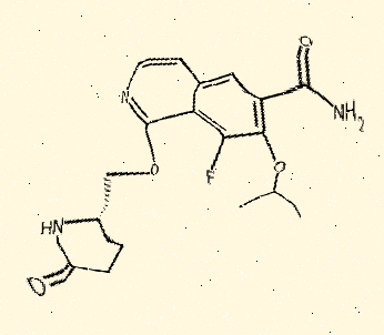 CC(C)Oc1c(C(N)=O)cc2ccnc(OC[C@@H]3CCC(=O)N3)c2c1F